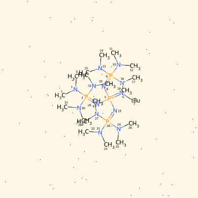 CN(C)P(=NP(=NC(C)(C)C)(N=P(N(C)C)(N(C)C)N(C)C)N=P(N(C)C)(N(C)C)N(C)C)(N(C)C)N(C)C